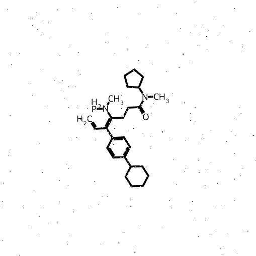 C=C/C(=C(/CCC(=O)N(C)C1CCCC1)N(C)P)c1ccc(C2CCCCC2)cc1